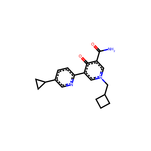 NC(=O)c1cn(CC2CCC2)cc(-c2ccc(C3CC3)cn2)c1=O